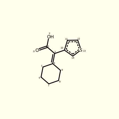 O=C(O)C(=C1CCCCC1)c1ccsc1